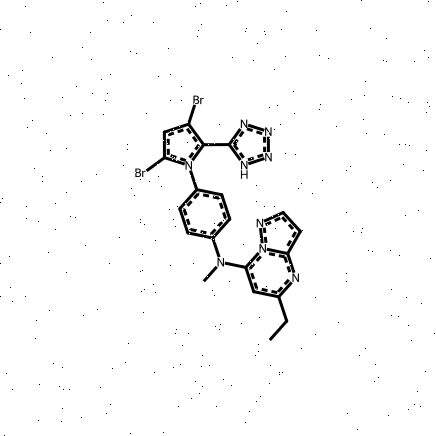 CCc1cc(N(C)c2ccc(-n3c(Br)cc(Br)c3-c3nnn[nH]3)cc2)n2nccc2n1